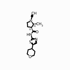 C#CN1CC[C@H](C(=O)Nc2ncc(C3CCOCC3)s2)[C@@H]1C